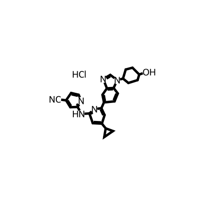 Cl.N#Cc1ccnc(Nc2cc(C3CC3)cc(-c3ccc4c(c3)ncn4C3CCC(O)CC3)n2)c1